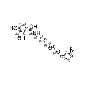 CN(C)c1cccc(COCCOCCCCCCNC[C@H](O)c2ccc(O)c(CO)c2)c1